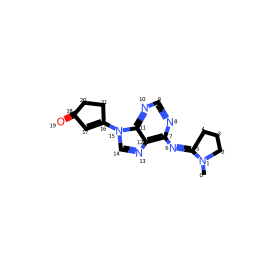 CN1CCCC1=Nc1ncnc2c1ncn2C1=CC(=O)CC1